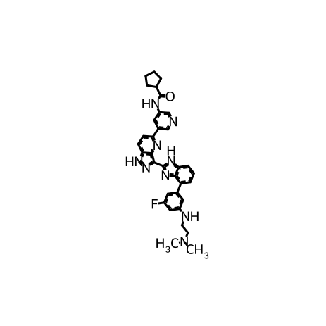 CN(C)CCNc1cc(F)cc(-c2cccc3[nH]c(-c4n[nH]c5ccc(-c6cncc(NC(=O)C7CCCC7)c6)nc45)nc23)c1